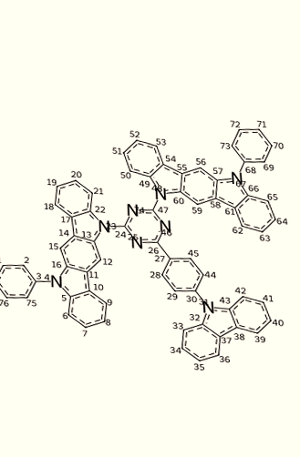 c1ccc(-n2c3ccccc3c3cc4c(cc32)c2ccccc2n4-c2nc(-c3ccc(-n4c5ccccc5c5ccccc54)cc3)nc(-n3c4ccccc4c4cc5c(cc43)c3ccccc3n5-c3ccccc3)n2)cc1